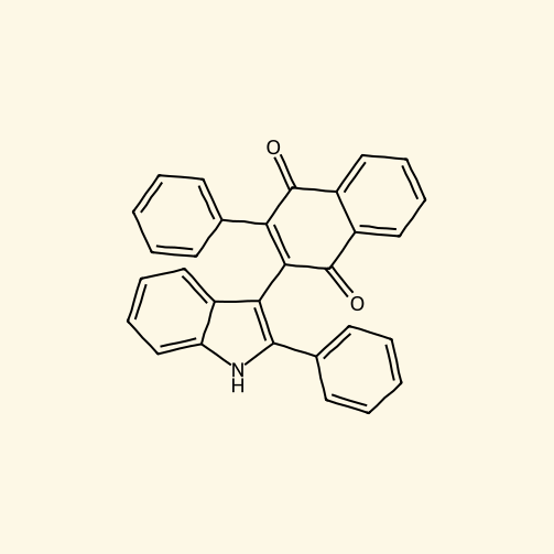 O=C1C(c2ccccc2)=C(c2c(-c3ccccc3)[nH]c3ccccc23)C(=O)c2ccccc21